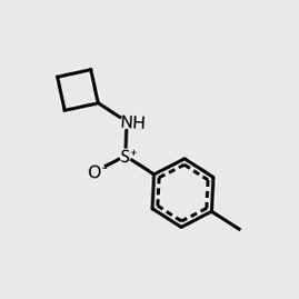 Cc1ccc([S+]([O-])NC2CCC2)cc1